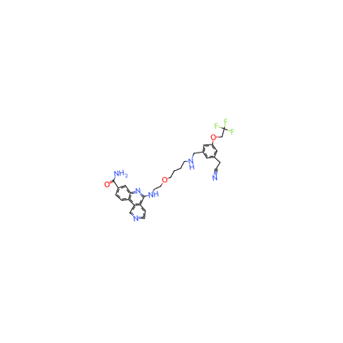 N#CCc1cc(CNCCCCOCCNc2nc3cc(C(N)=O)ccc3c3cnccc23)cc(OCC(F)(F)F)c1